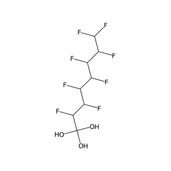 OC(O)(O)C(F)C(F)C(F)C(F)C(F)C(F)C(F)F